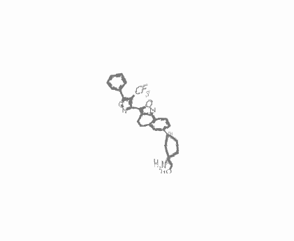 N[C@@]1(CO)CC[C@H](c2ccc3c(c2)CCc2c-3noc2-c2noc(-c3ccccc3)c2C(F)(F)F)C1